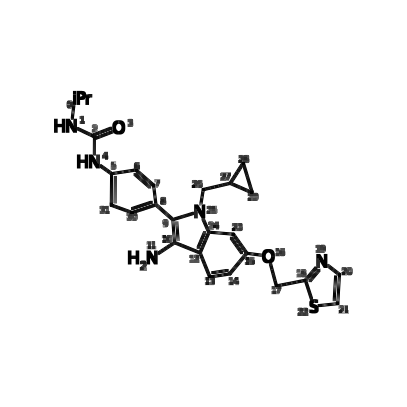 CC(C)NC(=O)Nc1ccc(-c2c(N)c3ccc(OCc4nccs4)cc3n2CC2CC2)cc1